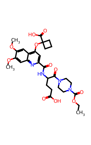 CCOC(=O)N1CCN(C(=O)C(CCC(=O)O)NC(=O)c2cc(OC3(C(=O)O)CCC3)c3cc(OC)c(OC)cc3n2)CC1